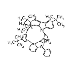 Cc1c2ccc3c1c1c(cccc1n3-c1ccccc1)-c1cc(C(C)(C)C)cc(c1)C(C)(C)c1cc3c(cc1C(C)(C)C)c1cc(C(C)(C)C)ccc1n3-2